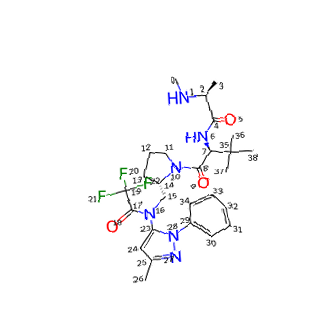 CN[C@@H](C)C(=O)N[C@H](C(=O)N1CCC[C@H]1CN(C(=O)C(F)(F)F)c1cc(C)nn1-c1ccccc1)C(C)(C)C